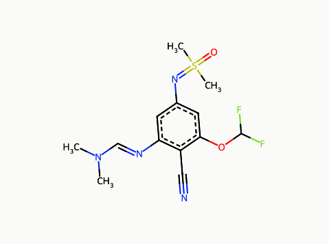 CN(C)C=Nc1cc(N=S(C)(C)=O)cc(OC(F)F)c1C#N